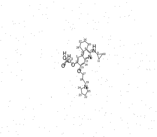 COc1cc2c3c(c(NC4CC4)nc2cc1OCCCN1CCCC1)CCCC3.O=CO